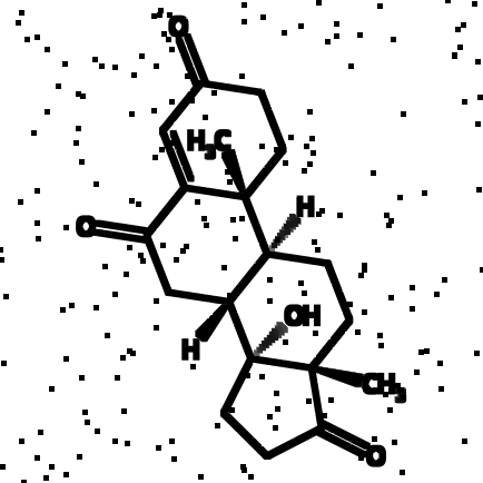 C[C@]12CCC(=O)C=C1C(=O)C[C@@H]1[C@@H]2CC[C@]2(C)C(=O)CC[C@@]12O